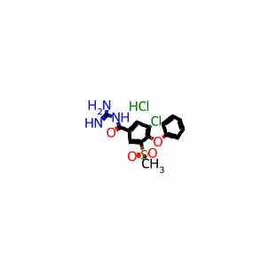 CS(=O)(=O)c1cc(C(=O)NC(=N)N)cc(Cl)c1Oc1ccccc1.Cl